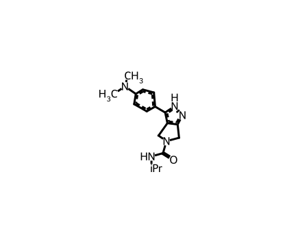 CC(C)NC(=O)N1Cc2n[nH]c(-c3ccc(N(C)C)cc3)c2C1